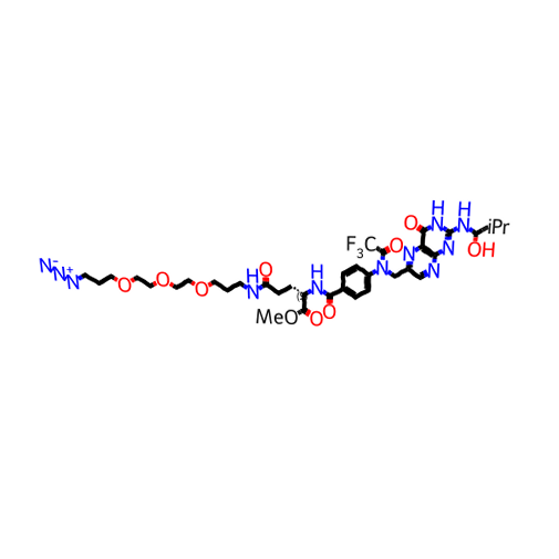 COC(=O)[C@H](CCC(=O)NCCCOCCOCCOCCCN=[N+]=[N-])NC(=O)c1ccc(N(Cc2cnc3nc(NC(O)C(C)C)[nH]c(=O)c3n2)C(=O)C(F)(F)F)cc1